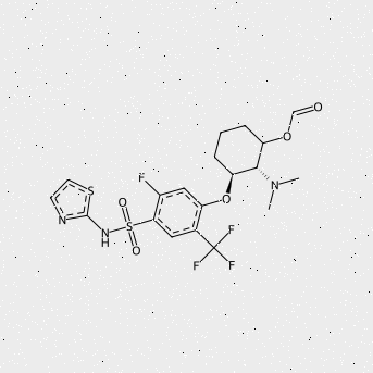 CN(C)[C@H]1C(OC=O)CCC[C@@H]1Oc1cc(F)c(S(=O)(=O)Nc2nccs2)cc1C(F)(F)F